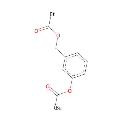 CCC(=O)OCc1cccc(OC(=O)C(C)(C)C)c1